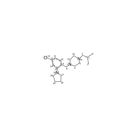 C[C](C)CN1CCN(Cc2ccc(Cl)cc2N2CCCC2)CC1